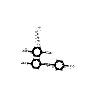 O=C([O-])c1ccc(C(=O)[O-])cc1.O=C([O-])c1ccc(C(=O)[O-])cc1.O=C([O-])c1ccc(C(=O)[O-])cc1.[H+].[H+].[H+].[H+].[Na+].[Na+]